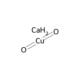 [CaH2].[O]=[Cu]=[O]